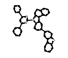 c1ccc(-c2cc(-c3ccccc3)nc(-n3c4ccc(-c5ccc6sc7ccccc7c6c5)cc4c4c5ccccc5ccc43)n2)cc1